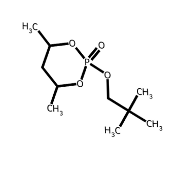 CC1CC(C)OP(=O)(OCC(C)(C)C)O1